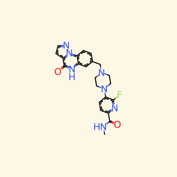 CNC(=O)c1ccc(N2CCN(Cc3ccc4c(c3)[nH]c(=O)c3ccnn34)CC2)c(F)n1